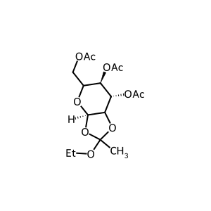 CCOC1(C)OC2[C@H](OC(COC(C)=O)[C@@H](OC(C)=O)[C@@H]2OC(C)=O)O1